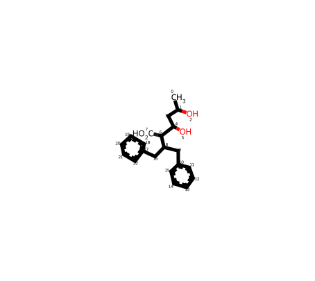 CC(O)CC(O)C(C(=O)O)C(Cc1ccccc1)Cc1ccccc1